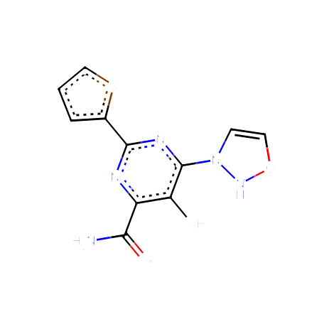 Cc1c(C(N)=O)nc(-c2cccs2)nc1N1C=CON1